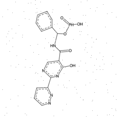 O=C(NC(O[PH](=O)O)c1ccccc1)c1cnc(-c2cccnn2)nc1O